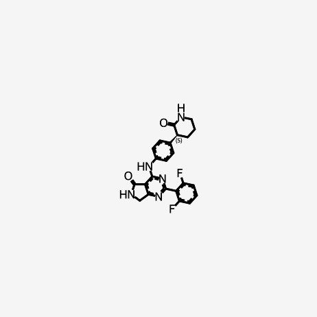 O=C1NCc2nc(-c3c(F)cccc3F)nc(Nc3ccc([C@@H]4CCCNC4=O)cc3)c21